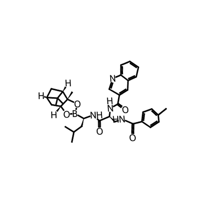 Cc1ccc(C(=O)NC[C@H](NC(=O)c2cnc3ccccc3c2)C(=O)N[C@@H](CC(C)C)B2O[C@@H]3C[C@@H]4C[C@@H](C4(C)C)[C@]3(C)O2)cc1